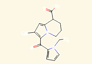 CCn1cccc1C(=O)c1c(C)cc2n1CCCC2C(=O)O